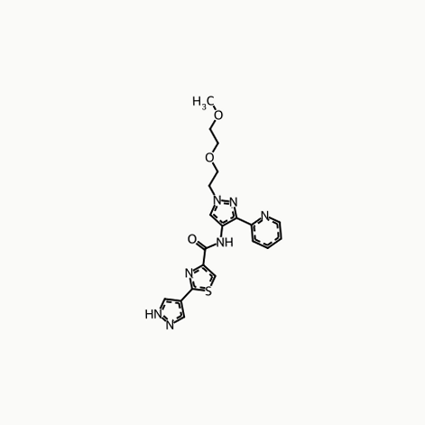 COCCOCCn1cc(NC(=O)c2csc(-c3cn[nH]c3)n2)c(-c2ccccn2)n1